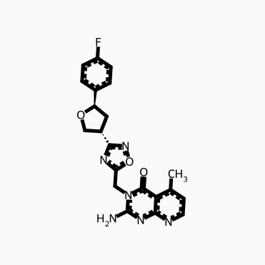 Cc1ccnc2nc(N)n(Cc3nc([C@@H]4CO[C@@H](c5ccc(F)cc5)C4)no3)c(=O)c12